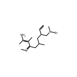 C=CC(CC(C)CC(=N/C)/C(C)=C(\C)N)CN(C)CC